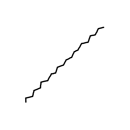 CCC[CH]CCCCCCCCCCCCCCCCC